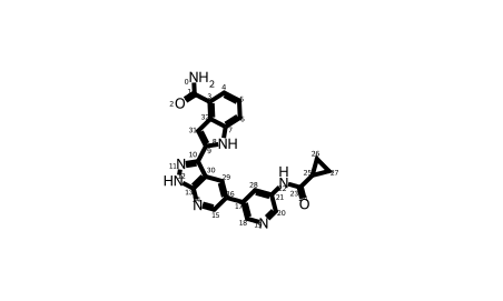 NC(=O)c1cccc2[nH]c(-c3n[nH]c4ncc(-c5cncc(NC(=O)C6CC6)c5)cc34)cc12